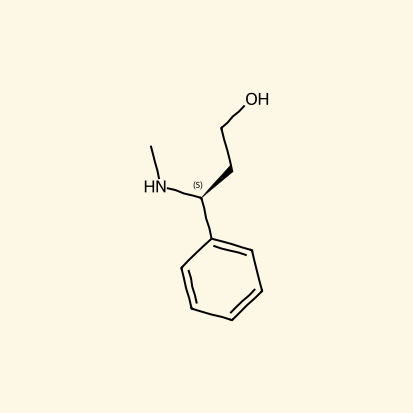 CN[C@@H](CCO)c1ccccc1